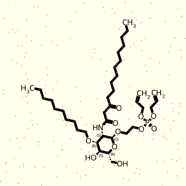 C=CCOP(=O)(OCC=C)OCCO[C@H]1O[C@H](CO)[C@@H](O)[C@H](OCCCCCCCCCC)[C@@H]1NC(=O)CC(=O)CCCCCCCCCCC